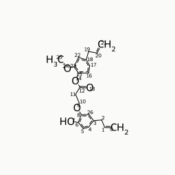 C=CCc1ccc(O)c(OCCC(=O)Oc2ccc(CC=C)cc2OC)c1